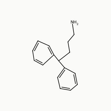 NCCCC(c1ccccc1)c1ccccc1